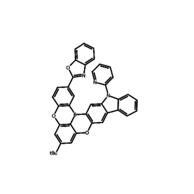 CC(C)(C)c1cc2c3c(c1)Oc1cc4c5ccccc5n(-c5ccccn5)c4cc1B3c1cc(-c3nc4ccccc4o3)ccc1O2